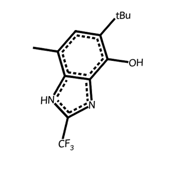 Cc1cc(C(C)(C)C)c(O)c2nc(C(F)(F)F)[nH]c12